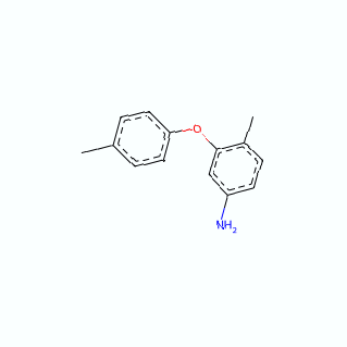 Cc1ccc(Oc2cc(N)ccc2C)cc1